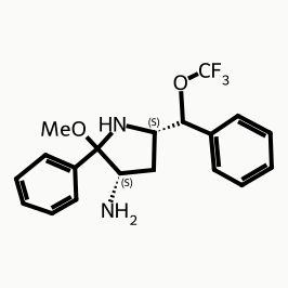 COC1(c2ccccc2)N[C@H](C(OC(F)(F)F)c2ccccc2)C[C@@H]1N